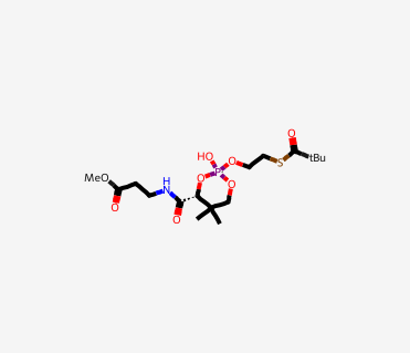 COC(=O)CCNC(=O)[C@@H]1O[P](O)(OCCSC(=O)C(C)(C)C)OCC1(C)C